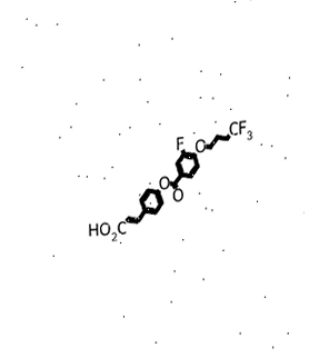 O=C(O)C=Cc1ccc(OC(=O)c2ccc(OCCCC(F)(F)F)c(F)c2)cc1